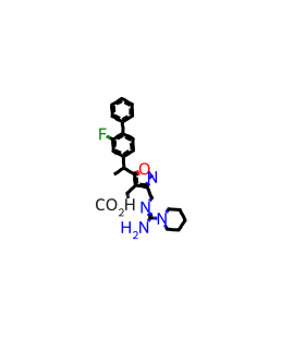 CC(c1ccc(-c2ccccc2)c(F)c1)c1onc(CN=C(N)N2CCCCC2)c1CC(=O)O